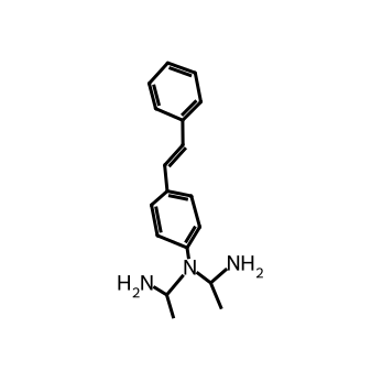 CC(N)N(c1ccc(C=Cc2ccccc2)cc1)C(C)N